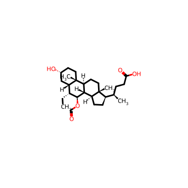 CC[C@H]1[C@H](OC=O)[C@@H]2[C@H](CC[C@]3(C)[C@@H]([C@H](C)CCC(=O)O)CC[C@@H]23)[C@@]2(C)CC[C@@H](O)C[C@@H]12